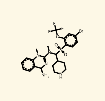 CN1C(N(C)C(C2CCNCC2)S(=O)(=O)c2ccc(Br)cc2OC(F)(F)F)=NC(N)c2ccccc21